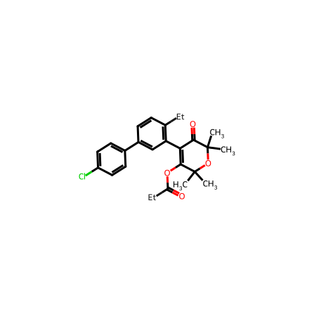 CCC(=O)OC1=C(c2cc(-c3ccc(Cl)cc3)ccc2CC)C(=O)C(C)(C)OC1(C)C